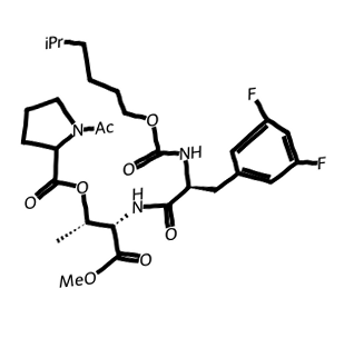 COC(=O)[C@@H](NC(=O)[C@H](Cc1cc(F)cc(F)c1)NC(=O)OCCCCC(C)C)[C@H](C)OC(=O)C1CCCN1C(C)=O